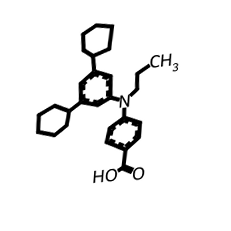 CCCN(c1ccc(C(=O)O)cc1)c1cc(C2CCCCC2)cc(C2CCCCC2)c1